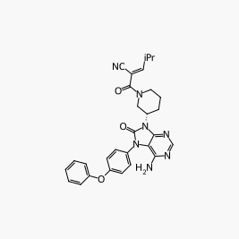 CC(C)C=C(C#N)C(=O)N1CCC[C@H](n2c(=O)n(-c3ccc(Oc4ccccc4)cc3)c3c(N)ncnc32)C1